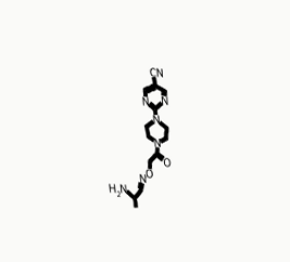 CC(N)C=NOCC(=O)N1CCN(c2ncc(C#N)cn2)CC1